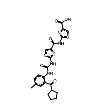 Cc1ccc(NC(=O)Nc2ncc(C(=O)Nc3nc(C(=O)O)co3)s2)c(C(=O)C2CCCC2)c1